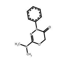 CN(C)C1=NN(c2ccccc2)C(=O)CO1